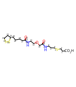 O=C(O)CCSCCCNC(=O)COCCNC(=O)CCCC[C@@H]1CCSS1